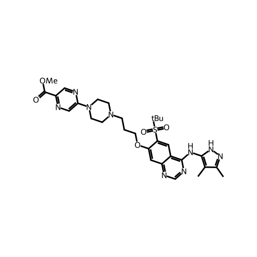 COC(=O)c1cnc(N2CCN(CCCOc3cc4ncnc(Nc5[nH]nc(C)c5C)c4cc3S(=O)(=O)C(C)(C)C)CC2)cn1